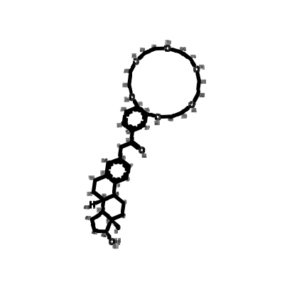 C[C@]12CCC3c4ccc(CC(=O)c5ccc6c(c5)OCCOCCOCCOCCOCCO6)cc4CC[C@H]3C1CC[C@@H]2O